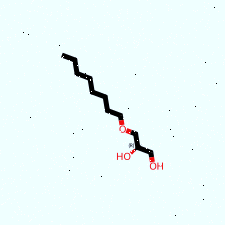 CCCCCCCCOC[C@H](O)CO